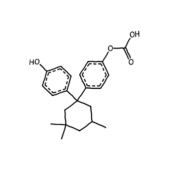 CC1CC(C)(C)CC(c2ccc(O)cc2)(c2ccc(OC(=O)O)cc2)C1